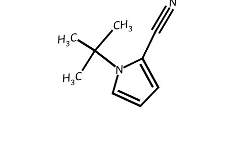 CC(C)(C)n1cccc1C#N